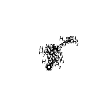 CN[C@H](C(=O)N[C@H](C(=O)N(C)[C@H](/C=C(\C)C(=O)COCOCC[Si](C)(C)C)C(C)C)C(C)(C)C)C(C)(C)c1ccccc1